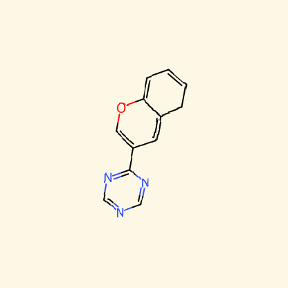 C1=CCC2=CC(c3ncncn3)=COC2=C1